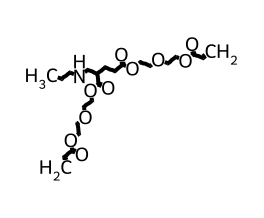 C=CC(=O)OCCOCCOC(=O)CCC(CNCCC)C(=O)OCCOCCOC(=O)C=C